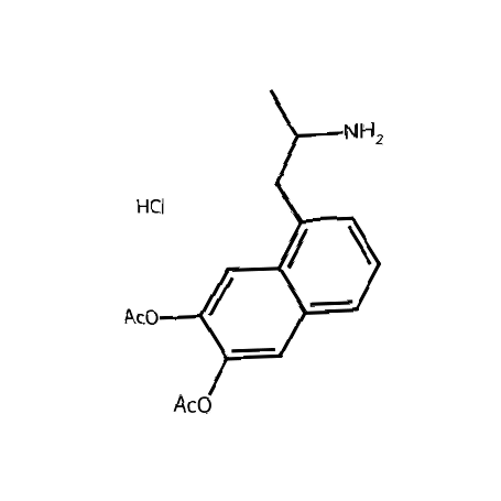 CC(=O)Oc1cc2cccc(CC(C)N)c2cc1OC(C)=O.Cl